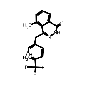 C=C(/C=C\C(=C/C)Cc1n[nH]c(=O)c2cccc(C)c12)C(F)(F)F